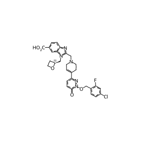 O=C(O)c1ccc2nc(CN3CC=C(c4ccc(=O)n(OCc5ccc(Cl)cc5F)n4)CC3)n(C[C@@H]3CCO3)c2c1